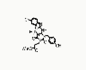 COC(=O)CCN1C(=O)N(N)C(Nc2nc3ccc(Cl)cc3o2)N(Cc2ccc(C)cc2)C1=O